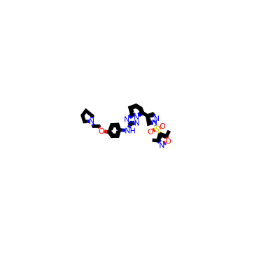 Cc1noc(C)c1S(=O)(=O)n1cc(-c2cccc3nc(Nc4ccc(OCCN5CCCC5)cc4)nn23)cn1